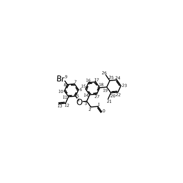 C=CCC(Oc1ccc(Br)cc1C=C)c1cccc(C2C(C)=CC=CC2C)c1